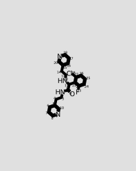 O=C(NCCc1cccnc1)C(NCCc1cccnc1)c1c(F)cccc1Cl